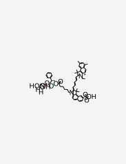 CC[N+]1=C(/C=C/C=C/C=C2/N(CCCCCC(=O)OC[C@@H](C(=O)O[C@H]3CC4[C@H](O)[C@H](C3)N4C)c3ccccc3)c3ccc4ccc(S(=O)(=O)O)cc4c3C2(C)C)C(C)(C)c2c1ccc1c(C)cc(C)cc21